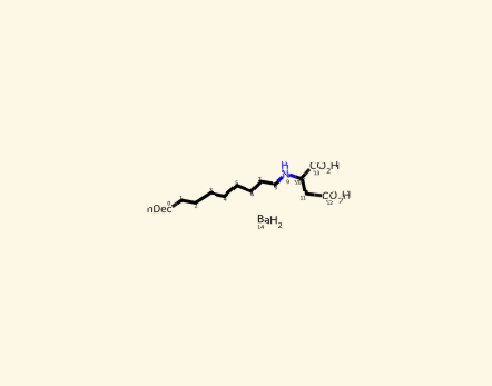 CCCCCCCCCCCCCCCCCCNC(CC(=O)O)C(=O)O.[BaH2]